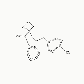 OC(c1ccccn1)C1(CCc2ccc(Cl)cc2)CCC1